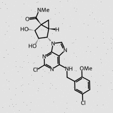 CNC(=O)[C@@]12C[C@@H]1[C@H](n1cnc3c(NCc4cc(Cl)ccc4OC)nc(Cl)nc31)[C@H](O)[C@@H]2O